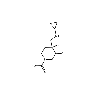 O=C(O)N1CC[C@](O)(CNC2CC2)[C@@H](F)C1